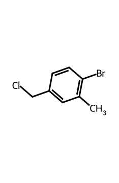 Cc1cc(CCl)ccc1Br